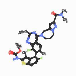 CSc1nc(N2CCCn3nc(C(=O)N(C)C)cc3C2)c2cc(C(F)(F)F)c(-c3c(F)ccc4sc(NC(=O)OC(C)(C)C)c(C#N)c34)c(F)c2n1